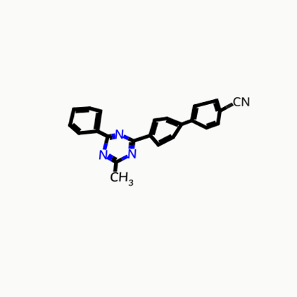 Cc1nc(-c2ccccc2)nc(-c2ccc(-c3ccc(C#N)cc3)cc2)n1